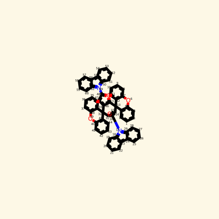 c1ccc2c(c1)Oc1ccccc1C21c2cc(-n3c4ccccc4c4ccccc43)oc2C2(c3ccccc3Oc3ccccc32)c2cc(-n3c4ccccc4c4ccccc43)oc21